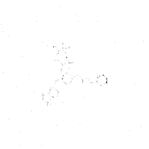 O=C(O)C(F)(F)F.O=C(O)C(F)(F)F.c1ccc(CCNCc2ccc(Oc3ccc4[nH]cnc4c3)cc2)cc1